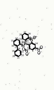 O=[N+]([O-])c1cc([N+](=O)[O-])c(N(Nc2ccccc2-c2ccccc2)c2ccccc2)c([N+](=O)[O-])c1